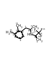 C=C(N[C@H](C)Cc1cccc(N)c1C)C(F)(F)F